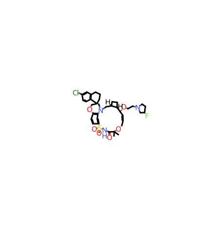 CC1(C)OCC=C[C@H](OCCN2CC[C@H](F)C2)[C@@H]2CC[C@H]2CN2C[C@@]3(CCCc4cc(Cl)ccc43)COc3ccc(cc32)S(=O)(=O)NC1=O